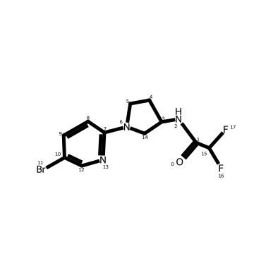 O=C(NC1CCN(c2ccc(Br)cn2)C1)C(F)F